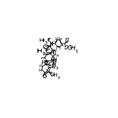 COC(=O)c1ccc(N(C)C(=O)C2CC[C@H]3[C@@H]4CCC5N(C)C(=O)CC[C@]5(C)[C@@H]4CC[C@]23C)cc1